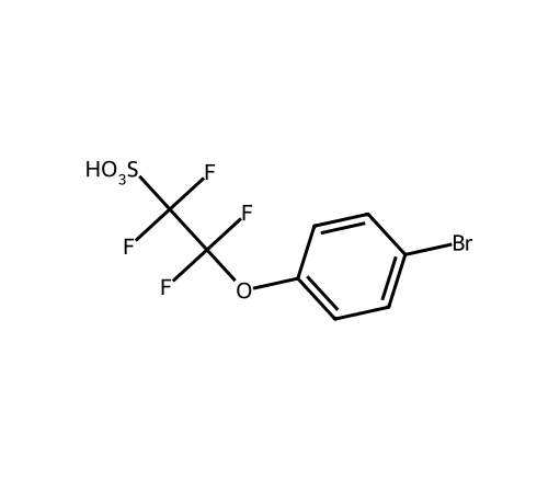 O=S(=O)(O)C(F)(F)C(F)(F)Oc1ccc(Br)cc1